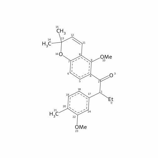 CCC(C(=O)c1ccc2c(c1OC)C=CC(C)(C)O2)c1ccc(C)c(OC)c1